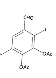 CC(=O)Oc1c(I)cc(C=O)c(I)c1OC(C)=O